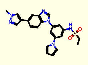 CCS(=O)(=O)Nc1cc(-n2cccc2)cc(-n2cnc3cc(-c4cnn(C)c4)ccc32)c1